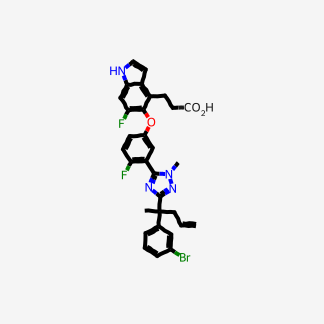 C=CCC(C)(c1cccc(Br)c1)c1nc(-c2cc(Oc3c(F)cc4[nH]ccc4c3CCC(=O)O)ccc2F)n(C)n1